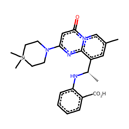 Cc1cc([C@H](C)Nc2ccccc2C(=O)O)c2nc(N3CC[Si](C)(C)CC3)cc(=O)n2c1